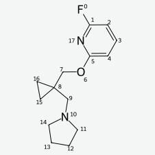 Fc1cccc(OCC2(CN3CCCC3)CC2)n1